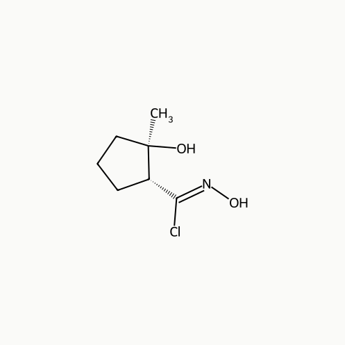 C[C@@]1(O)CCC[C@H]1/C(Cl)=N/O